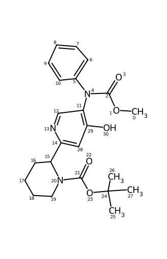 COC(=O)N(c1ccccc1)c1cnc(C2CCCCN2C(=O)OC(C)(C)C)cc1O